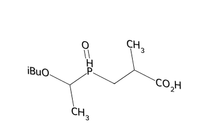 CC(C)COC(C)[PH](=O)CC(C)C(=O)O